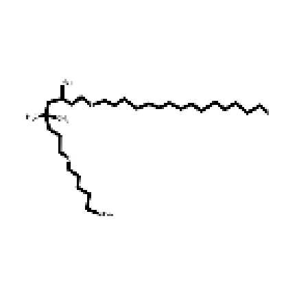 CCCCCCCCCCCCCCCOCCCC(C)(C)CC(CCOCCCCCCCCCCCCCCCF)C(C)(C)C